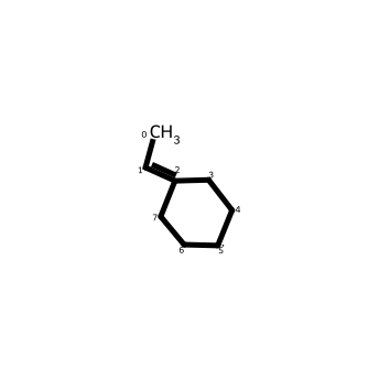 CC=C1CC[CH]CC1